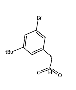 CC(C)(C)c1cc(Br)cc(C[SH](=O)=O)c1